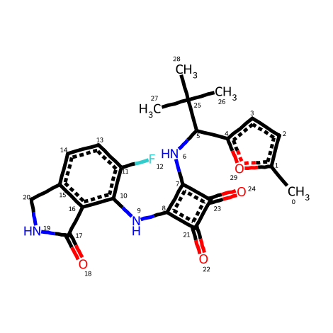 Cc1ccc(C(Nc2c(Nc3c(F)ccc4c3C(=O)NC4)c(=O)c2=O)C(C)(C)C)o1